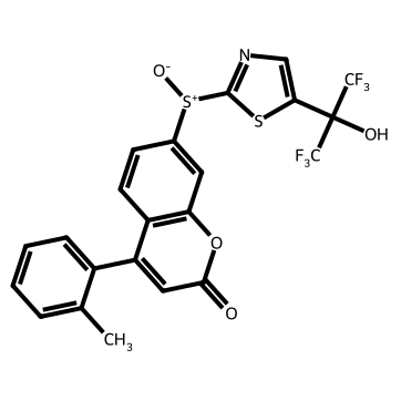 Cc1ccccc1-c1cc(=O)oc2cc([S+]([O-])c3ncc(C(O)(C(F)(F)F)C(F)(F)F)s3)ccc12